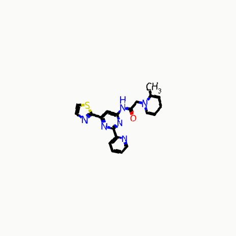 CC1CCCCN1CC(=O)Nc1cc(-c2nccs2)nc(-c2ccccn2)n1